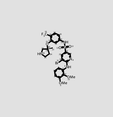 COc1cccc(Nc2ncc(S(=O)(=O)Nc3ccc(C(F)(F)F)c(O[C@]4(C)CCNC4)c3)cc2Br)c1OC